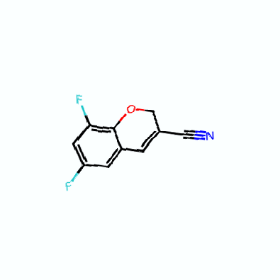 N#CC1=Cc2cc(F)cc(F)c2OC1